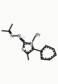 CC(C)=N/N=c1\sc(C)c(-c2ccccc2)n1C(C)C